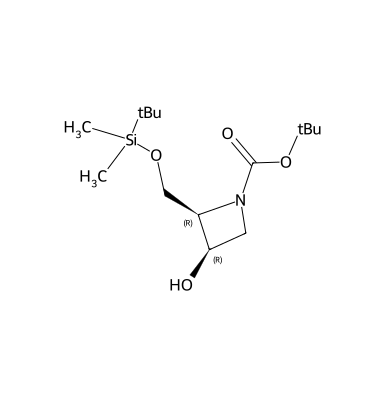 CC(C)(C)OC(=O)N1C[C@@H](O)[C@H]1CO[Si](C)(C)C(C)(C)C